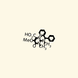 COc1c(C(=O)O)nc(N(C)C(c2ccccc2)c2ccccn2)n(C)c1=O